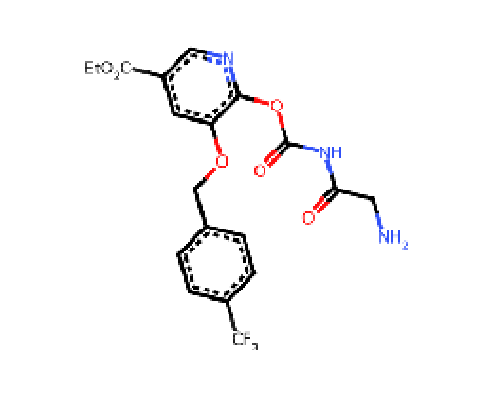 CCOC(=O)c1cnc(OC(=O)NC(=O)CN)c(OCc2ccc(C(F)(F)F)cc2)c1